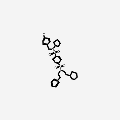 O=S(=O)(c1ccc(S(=O)(=O)N(Cc2ccc(Cl)cc2)C2CCCC2)cc1)N(CCc1ccccc1)CCC1CCCCC1